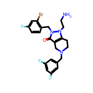 NCCn1c2c(c(=O)n1Cc1ccc(F)cc1Br)CN(Cc1cc(F)cc(F)c1)CC2